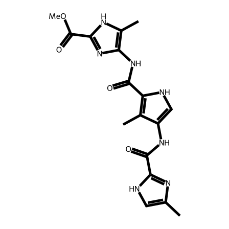 COC(=O)c1nc(NC(=O)c2[nH]cc(NC(=O)c3nc(C)c[nH]3)c2C)c(C)[nH]1